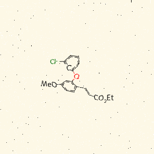 CCOC(=O)/C=C/c1ccc(OC)cc1Oc1cccc(Cl)c1